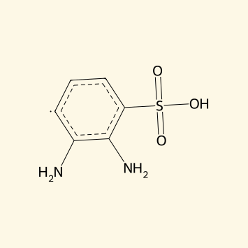 Nc1[c]ccc(S(=O)(=O)O)c1N